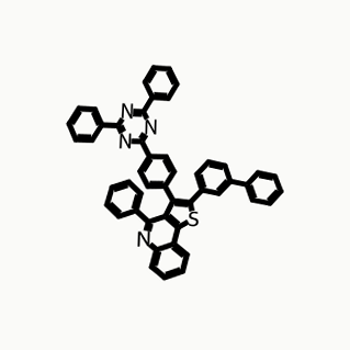 c1ccc(-c2cccc(-c3sc4c(c(-c5ccccc5)nc5ccccc54)c3-c3ccc(-c4nc(-c5ccccc5)nc(-c5ccccc5)n4)cc3)c2)cc1